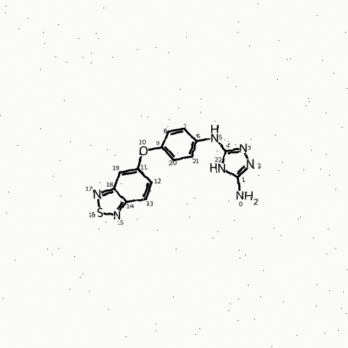 Nc1nnc(Nc2ccc(Oc3ccc4nsnc4c3)cc2)[nH]1